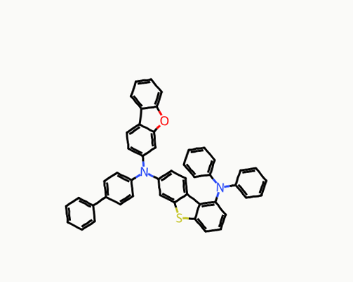 c1ccc(-c2ccc(N(c3ccc4c(c3)oc3ccccc34)c3ccc4c(c3)sc3cccc(N(c5ccccc5)c5ccccc5)c34)cc2)cc1